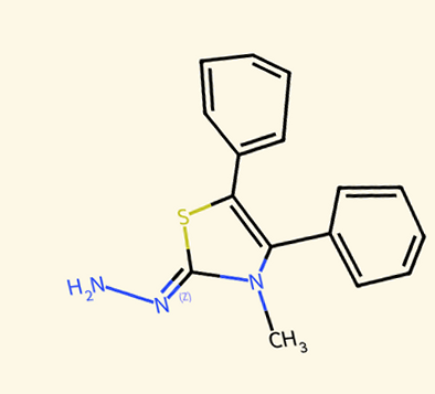 Cn1c(-c2ccccc2)c(-c2ccccc2)s/c1=N\N